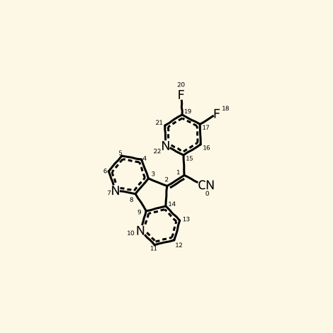 N#CC(=C1c2cccnc2-c2ncccc21)c1cc(F)c(F)cn1